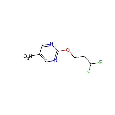 O=[N+]([O-])c1cnc(OCCC(F)F)nc1